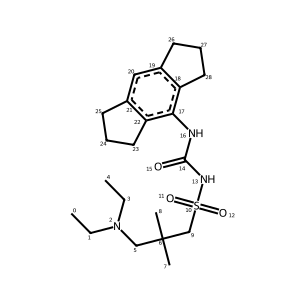 CCN(CC)CC(C)(C)CS(=O)(=O)NC(=O)Nc1c2c(cc3c1CCC3)CCC2